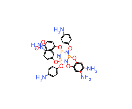 Nc1ccc(ON2P(Oc3ccc(N)cc3)N=P(Oc3ccc(N)cc3)(Oc3ccc([N+](=O)[O-])cc3)N(Oc3ccc(N)cc3)P2Oc2ccc(N)cc2)cc1